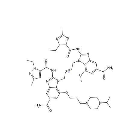 CCc1nc(C)sc1C(=O)Nc1nc2cc(C(N)=O)cc(OC)c2n1C/C=C/Cn1c(NC(=O)c2cc(C)nn2CC)nc2cc(C(N)=O)cc(OCCCN3CCN(C(C)C)CC3)c21